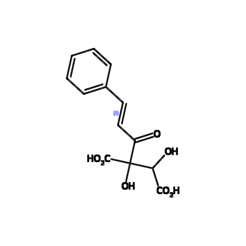 O=C(O)C(O)C(O)(C(=O)O)C(=O)/C=C/c1ccccc1